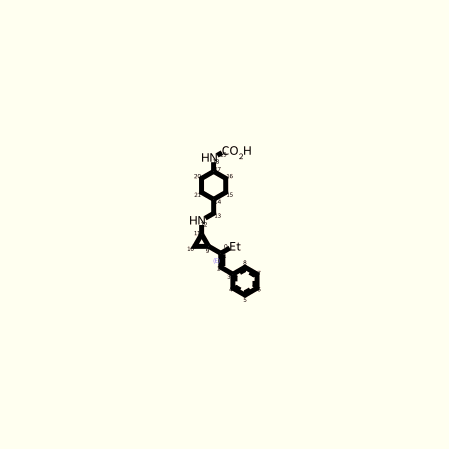 CC/C(=C\c1ccccc1)C1CC1NCC1CCC(NC(=O)O)CC1